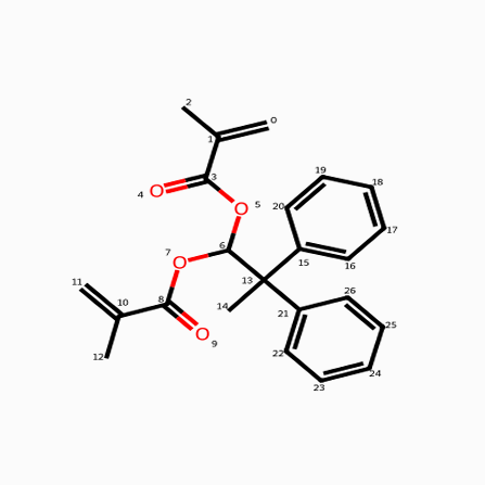 C=C(C)C(=O)OC(OC(=O)C(=C)C)C(C)(c1ccccc1)c1ccccc1